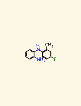 Cc1cc(F)ccc1Nc1ccccc1N